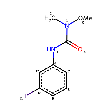 CON(C)C(=O)Nc1cccc(I)c1